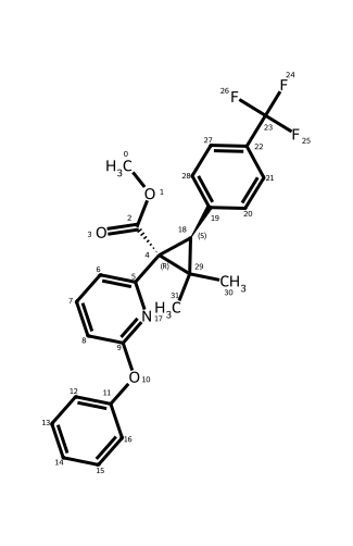 COC(=O)[C@]1(c2cccc(Oc3ccccc3)n2)[C@@H](c2ccc(C(F)(F)F)cc2)C1(C)C